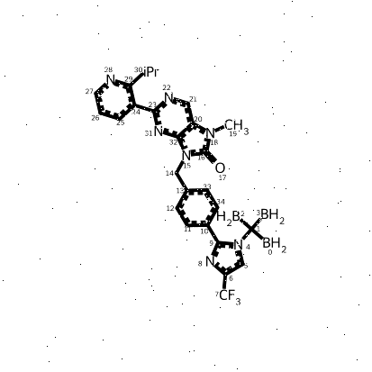 BC(B)(B)n1cc(C(F)(F)F)nc1-c1ccc(Cn2c(=O)n(C)c3cnc(-c4cccnc4C(C)C)nc32)cc1